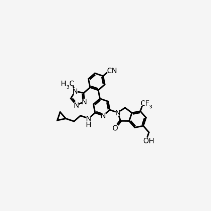 Cn1cnnc1-c1ccc(C#N)cc1-c1cc(NCCC2CC2)nc(N2Cc3c(cc(CO)cc3C(F)(F)F)C2=O)c1